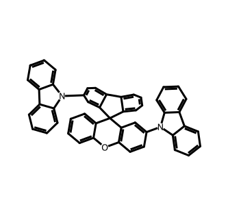 c1ccc2c(c1)Oc1ccc(-n3c4ccccc4c4ccccc43)cc1C21c2ccccc2-c2ccc(-n3c4ccccc4c4ccccc43)cc21